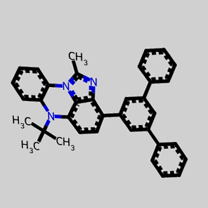 Cc1nc2c(-c3cc(-c4ccccc4)cc(-c4ccccc4)c3)ccc3c2n1-c1ccccc1N3C(C)(C)C